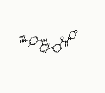 C=NNc1ccc(Nc2ccnc(-c3cccc(C(=O)NN4CCOCC4)c3)n2)cc1C